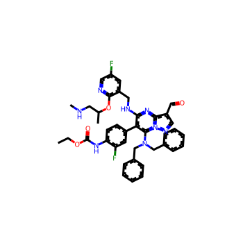 CCOC(=O)Nc1ccc(-c2c(NCc3cc(F)cnc3OC(C)CNC)nc3c(C=O)cnn3c2N(Cc2ccccc2)Cc2ccccc2)cc1F